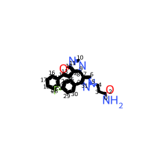 NC(=O)CCn1cc(-c2ncnc3oc(-c4ccccc4)cc23)c(-c2ccc(F)cc2)n1